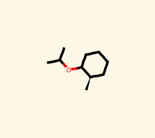 CC(C)OC1CCCC[C@H]1C